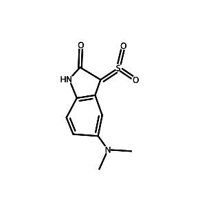 CN(C)c1ccc2c(c1)C(=S(=O)=O)C(=O)N2